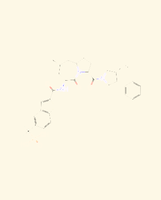 C[C@H]1C[C@H]2CC[C@@H](C(=O)N3C[C@@H](C#N)[C@H](c4ccccc4)C3)N2C(=O)[C@@H](NC(=O)c2cc3cc(C(F)(F)P(=O)(O)O)ccc3s2)C1